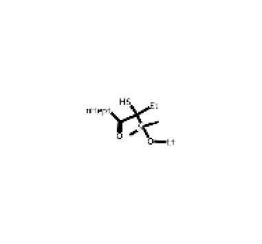 CCCCCCCC(=O)C(S)(CC)[Si](C)(C)OCC